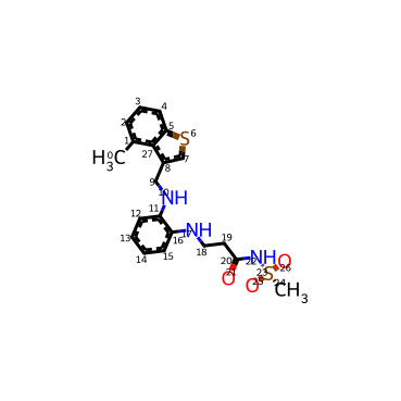 Cc1cccc2scc(CNc3ccccc3NCCC(=O)NS(C)(=O)=O)c12